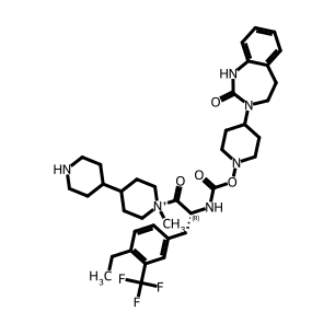 CCc1ccc(C[C@@H](NC(=O)ON2CCC(N3CCc4ccccc4NC3=O)CC2)C(=O)[N+]2(C)CCC(C3CCNCC3)CC2)cc1C(F)(F)F